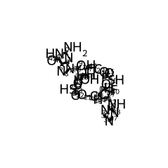 Nc1nc2c(ncn2[C@@H]2O[C@@H]3CCOP(=O)(S)O[C@@H]4[C@@H](CCOP(=O)(S)O[C@@H]2[C@@H]3O)C[C@@H](Nc2ncncn2)[C@@H]4F)c(=O)[nH]1